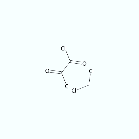 ClCCl.O=C(Cl)C(=O)Cl